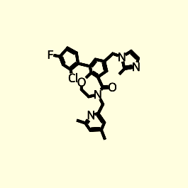 Cc1cc(C)nc(CN2CCOc3c(cc(Cn4ccnc4C)cc3-c3ccc(F)cc3Cl)C2=O)c1